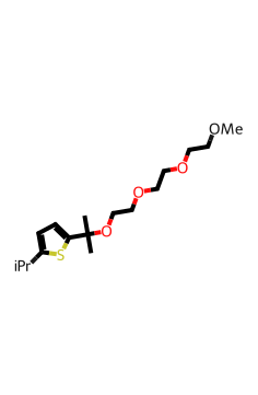 COCCOCCOCCOC(C)(C)c1ccc(C(C)C)s1